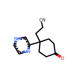 N#CCCC1(c2cnccn2)CCC(=O)CC1